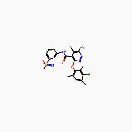 Cc1cc(C)c(Oc2nnc(C(F)(F)F)c(C)c2C(=O)Nc2cccc(S(C)(=N)=O)c2)c(C)c1F